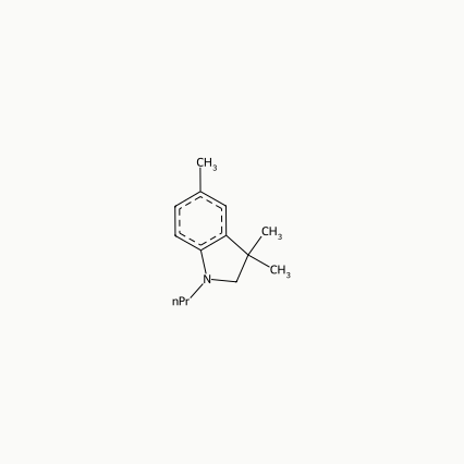 CCCN1CC(C)(C)c2cc(C)ccc21